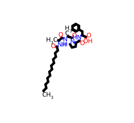 CCCCCCCCCCCCCCCC(=O)NC(C)C(=O)NC(C)C(=O)N1CCCC1C(=O)NC(Cc1ccccc1)C(=O)O